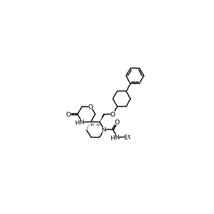 CCNC(=O)N1CCC[C@]2(COCC(=O)N2)[C@H]1COC1CCC(c2ccccc2)CC1